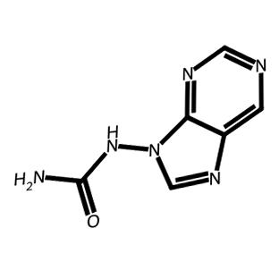 NC(=O)Nn1cnc2cncnc21